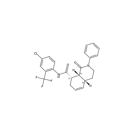 O=C(Nc1ccc(Cl)cc1C(F)(F)F)[C@H]1CC=C[C@H]2CCN(c3ccccc3)C(=O)[C@@H]12